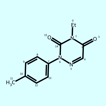 CCn1c(=O)cnn(-c2c[c]c(C)cc2)c1=O